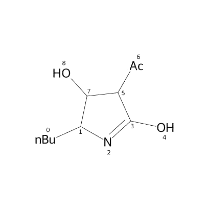 CCCCC1N=C(O)C(C(C)=O)C1O